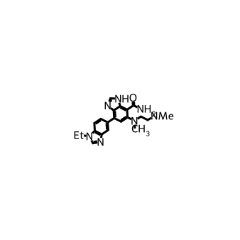 CCn1cnc2cc(-c3cc(N(C)CCNC)c(C(N)=O)c4[nH]cnc34)ccc21